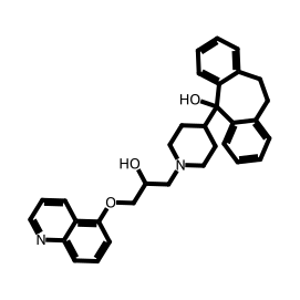 OC(COc1cccc2ncccc12)CN1CCC(C2(O)c3ccccc3CCc3ccccc32)CC1